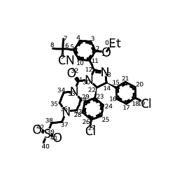 CCOc1ccc(C(C)(C)C#N)cc1C1=N[C@@H](c2ccc(Cl)cc2)[C@@H](c2ccc(Cl)cc2)N1C(=O)N1CCN(CCS(C)(=O)=O)CC1